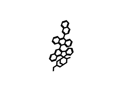 CCC1CC2CC(C)C3(c4ccccc4-c4c(-c5c6ccccc6c(-c6ccc7ccccc7c6)c6ccccc56)cc5ccccc5c43)C(C1)C2